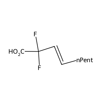 CCCCC/C=C/C(F)(F)C(=O)O